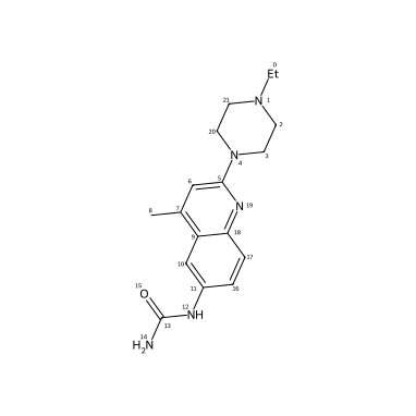 CCN1CCN(c2cc(C)c3cc(NC(N)=O)ccc3n2)CC1